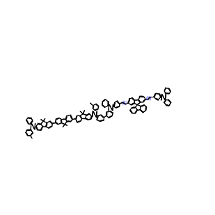 Cc1cccc(N(c2ccccc2)c2ccc3c(c2)C(C)(C)c2cc(-c4ccc5c(c4)C(C)(C)c4cc(-c6ccc7c(c6)C(C)(C)c6cc(N(c8cccc(C)c8)c8cccc(-c9cccc(N(c%10ccccc%10)c%10ccc(/C=C/c%11ccc%12c(c%11)C%11(c%13ccccc%13-c%13ccccc%13%11)c%11cc(/C=C/c%13ccc(N(c%14ccccc%14)c%14ccccc%14)cc%13)ccc%11-%12)cc%10)c9)c8)ccc6-7)ccc4-5)ccc2-3)c1